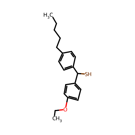 CCCCCc1ccc(C(S)c2ccc(OCC)cc2)cc1